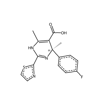 CC1=C(C(=O)O)[C@@](C)(c2ccc(F)cc2)N=C(c2nccs2)N1